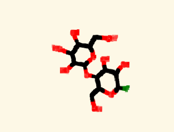 OCC1O[C@@H](O[C@@H]2C(CO)O[C@H](F)C(O)C2O)C(O)C(O)[C@H]1O